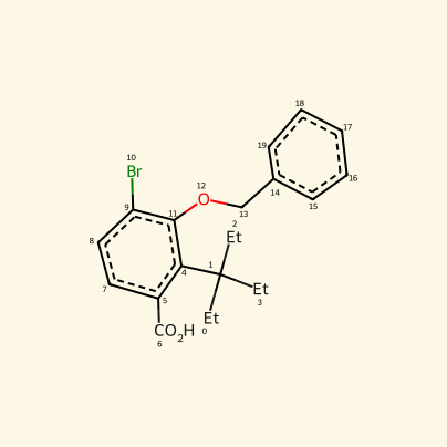 CCC(CC)(CC)c1c(C(=O)O)ccc(Br)c1OCc1ccccc1